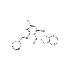 Cc1c(O)cc(O)c(C(=O)N2Cc3ccncc3C2)c1OCc1ccccc1